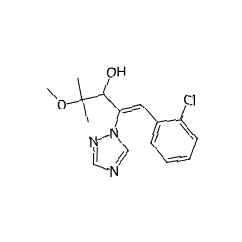 COC(C)(C)C(O)/C(=C/c1ccccc1Cl)n1cncn1